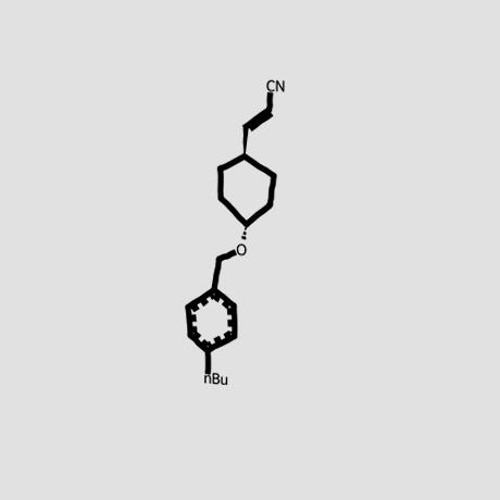 CCCCc1ccc(CO[C@H]2CC[C@H](C=CC#N)CC2)cc1